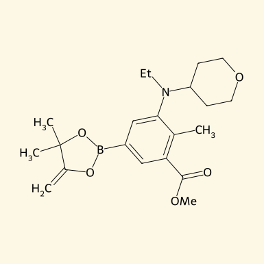 C=C1OB(c2cc(C(=O)OC)c(C)c(N(CC)C3CCOCC3)c2)OC1(C)C